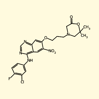 CC1(C)CN(CCCOc2cc3ncnc(Nc4ccc(F)c(Cl)c4)c3cc2[N+](=O)[O-])CC(=O)O1